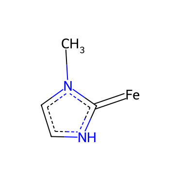 Cn1cc[nH][c]1=[Fe]